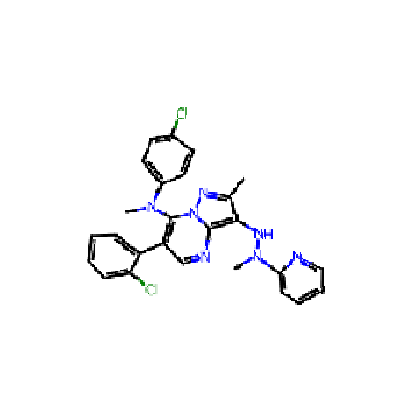 Cc1nn2c(N(C)c3ccc(Cl)cc3)c(-c3ccccc3Cl)cnc2c1NN(C)c1ccccn1